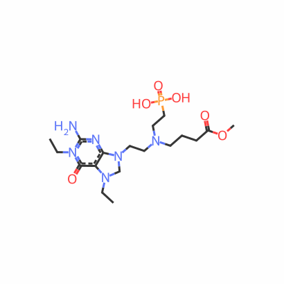 CCN1CN(CCN(CCCC(=O)OC)CCP(=O)(O)O)c2nc(N)n(CC)c(=O)c21